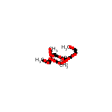 CCCCC/C=C\C/C=C\CCCCCCCCN(CCC[PH](C)(C)CCCCCCCC/C=C\C/C=C\CCCCC)C(=O)CCCCCCC/C=C\C/C=C\CCCCC